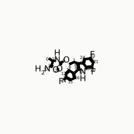 CC(NC(=O)OCCc1c(-c2ccc(F)cc2)[nH]c2c(F)cc(F)cc12)C(N)=O